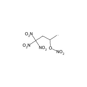 [CH2]C(CC([N+](=O)[O-])([N+](=O)[O-])[N+](=O)[O-])O[N+](=O)[O-]